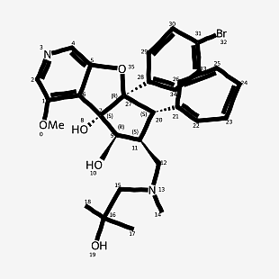 COc1cncc2c1[C@]1(O)[C@H](O)[C@H](CN(C)CC(C)(C)O)[C@@H](c3ccccc3)[C@]1(c1ccc(Br)cc1)O2